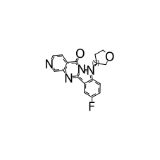 O=c1c2ccncc2nc2c3cc(F)ccc3n([C@H]3CCOC3)n12